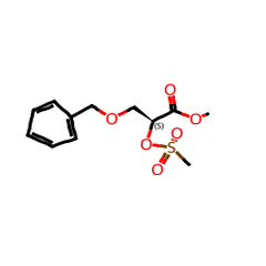 COC(=O)[C@H](COCc1ccccc1)OS(C)(=O)=O